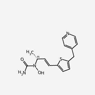 C[C@H](C=Cc1ccc(Cc2ccncc2)s1)N(O)C(N)=O